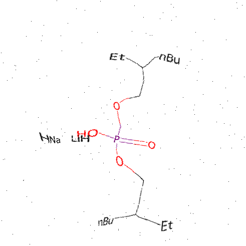 CCCCC(CC)COP(=O)(O)OCC(CC)CCCC.[LiH].[NaH]